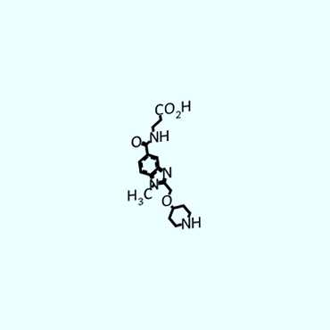 Cn1c(COC2CCNCC2)nc2cc(C(=O)NCCC(=O)O)ccc21